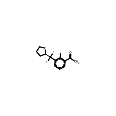 CC(=O)c1cccc(C(F)(F)[C@H]2CCCO2)c1F